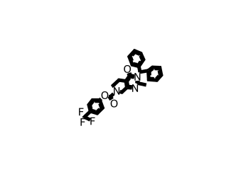 Cc1nc2c(c(=O)n1C(c1ccccc1)c1ccccc1)CCN(C(=O)Oc1ccc(C(F)(F)F)cc1)C2